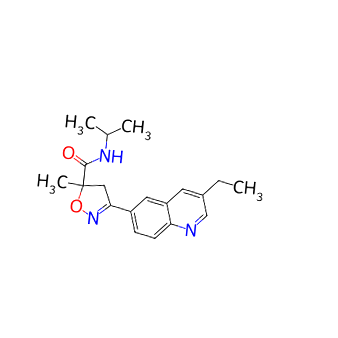 CCc1cnc2ccc(C3=NOC(C)(C(=O)NC(C)C)C3)cc2c1